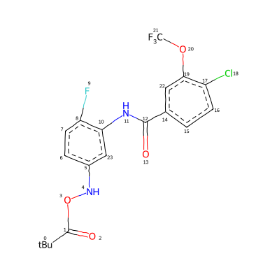 CC(C)(C)C(=O)ONc1ccc(F)c(NC(=O)c2ccc(Cl)c(OC(F)(F)F)c2)c1